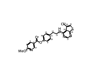 COc1ccc(C(=O)Oc2ccc(CCNc3ncnc4scc(Cl)c34)cc2)cn1